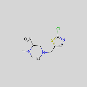 CCN(Cc1cnc(Cl)s1)CC(N(C)C)[N+](=O)[O-]